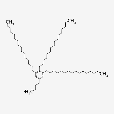 [CH2]CCCc1cc(CCCCCCCCCCCCCCCC)c(CCCCCCCCCCCCCCCC)c(CCCCCCCCCCCCCCCC)c1